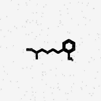 CC(C=O)CSCCc1ccccc1[N+](=O)[O-]